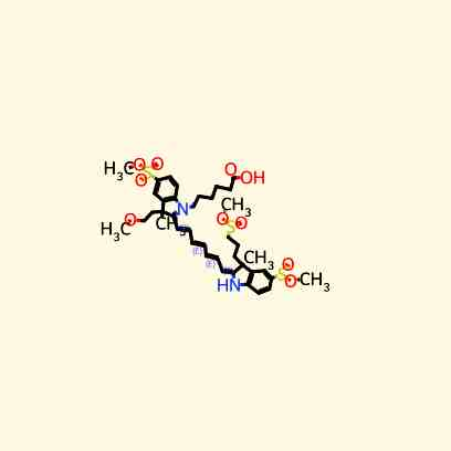 COCCC1(C)C(/C=C/C=C/C=C/C=C2/Nc3ccc(S(=O)OC)cc3C2(C)CCCS(=O)OC)=[N+](CCCCCC(=O)O)c2ccc(S(=O)(=O)OC)cc21